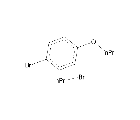 CCCBr.CCCOc1ccc(Br)cc1